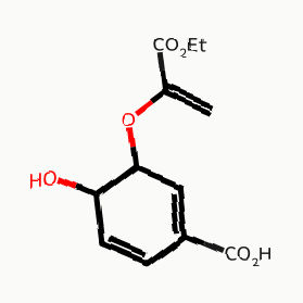 C=C(OC1C=C(C(=O)O)C=CC1O)C(=O)OCC